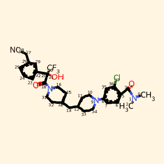 CN(C)C(=O)c1ccc(N2CCC(CC3CCN(C(=O)C(O)(c4cccc(CC#N)c4)C(F)(F)F)CC3)CC2)cc1Cl